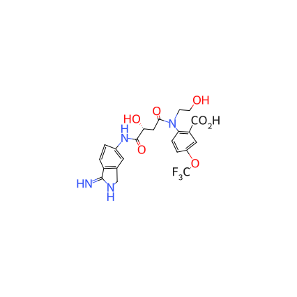 N=C1NCc2cc(NC(=O)[C@H](O)CC(=O)N(CCO)c3ccc(OC(F)(F)F)cc3C(=O)O)ccc21